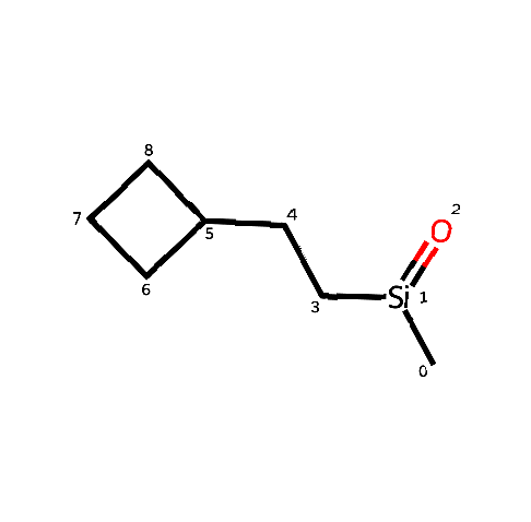 C[Si](=O)CCC1CCC1